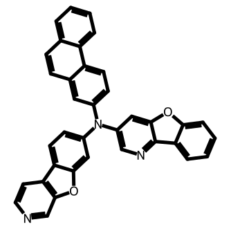 c1ccc2c(c1)ccc1cc(N(c3ccc4c(c3)oc3cnccc34)c3cnc4c(c3)oc3ccccc34)ccc12